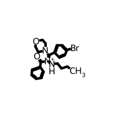 CCCCN[N+](C(=O)c1ccccc1)=C(c1ccc(Br)cc1)N1CCOCC1